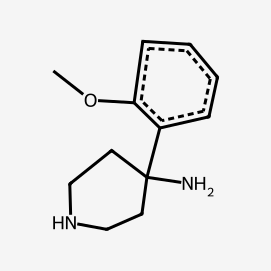 COc1ccccc1C1(N)CCNCC1